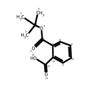 CC(C)(C)OC(=O)c1ccccc1C(=O)O